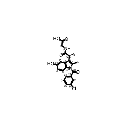 Cc1c([C@H](C)C(=O)NCC(=O)O)c2cc(O)ccc2n1C(=O)c1cccc(Cl)c1